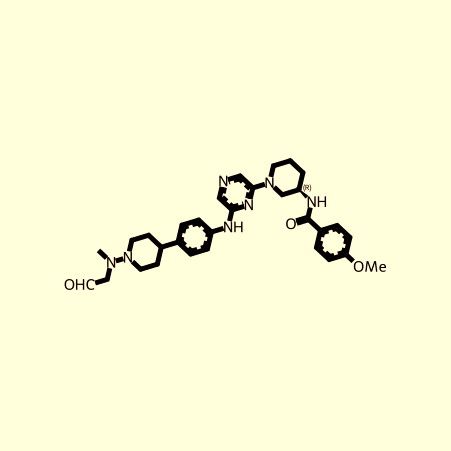 COc1ccc(C(=O)N[C@@H]2CCCN(c3cncc(Nc4ccc(C5CCN(N(C)CC=O)CC5)cc4)n3)C2)cc1